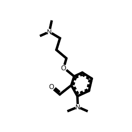 CN(C)CCCOc1cccc(N(C)C)c1C=O